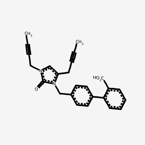 CC#CCc1cn(CC#CC)c(=O)n1Cc1ccc(-c2ccccc2C(=O)O)cc1